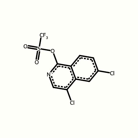 O=S(=O)(Oc1ncc(Cl)c2cc(Cl)ccc12)C(F)(F)F